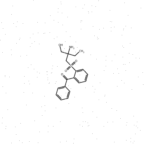 CCC(N)(CO)CS(=O)(=O)c1ccccc1C(=O)c1ccccc1